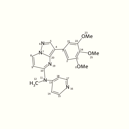 COc1cc(-c2cnn3ccc(N(C)c4ccncc4)nc23)cc(OC)c1OC